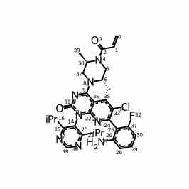 C=CC(=O)N1C[C@H](C)N(c2nc(=O)n(-c3c(C(C)C)ncnc3C(C)C)c3nc(-c4c(N)cccc4F)c(Cl)cc23)C[C@H]1C